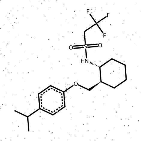 CC(C)c1ccc(OC[C@@H]2CCCC[C@H]2NS(=O)(=O)CC(F)(F)F)cc1